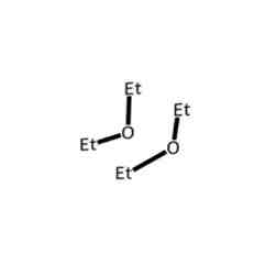 CCOCC.CCOCC